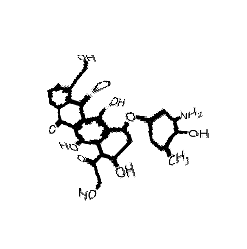 CC1CC(OC2CC(O)C(C(=O)CO)c3c(O)c4c(c(O)c32)C(=O)c2c(CO)cccc2C4=O)CC(N)C1O